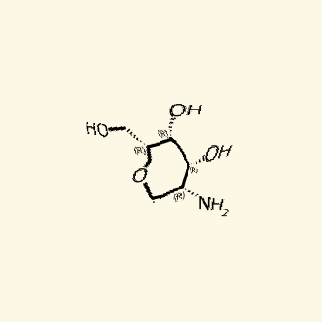 N[C@@H]1[CH]O[C@H](CO)[C@H](O)[C@@H]1O